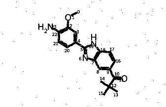 COc1cc(-c2nc3cc(C(=O)C(C)(C)C)ccc3[nH]2)ccc1N